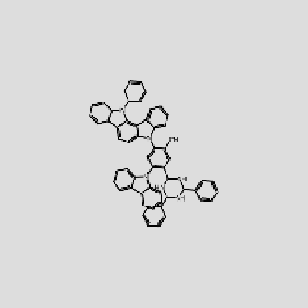 N#Cc1cc(C2NC(c3ccccc3)NC(C3C=CC=CC3)N2)c(-n2c3ccccc3c3ccccc32)cc1-n1c2ccccc2c2c3c(ccc21)C1C=CC=CC1N3C1C=CC=CC1